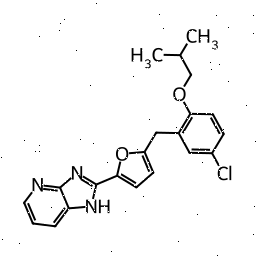 CC(C)COc1ccc(Cl)cc1Cc1ccc(-c2nc3ncccc3[nH]2)o1